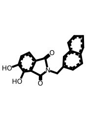 O=C1c2ccc(O)c(O)c2C(=O)N1Cc1ccc2ccccc2c1